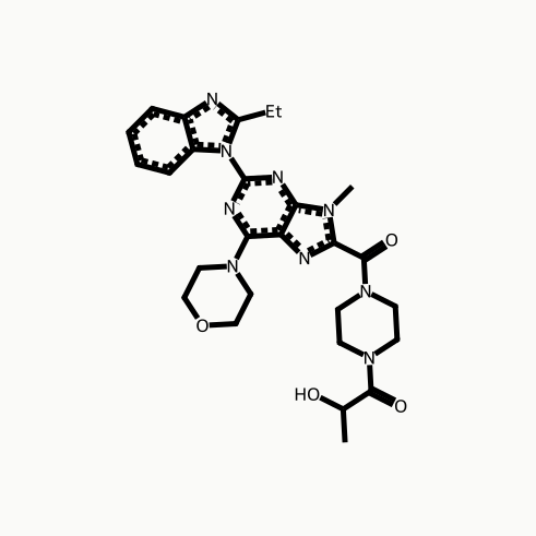 CCc1nc2ccccc2n1-c1nc(N2CCOCC2)c2nc(C(=O)N3CCN(C(=O)C(C)O)CC3)n(C)c2n1